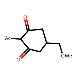 COCC1CC(=O)C(C(C)=O)C(=O)C1